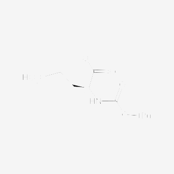 CC(C)(C)OC(=O)N[C@@H](CCC(=O)O)C([O])=O